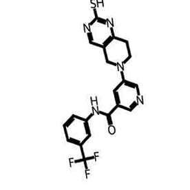 O=C(Nc1cccc(C(F)(F)F)c1)c1cncc(N2CCc3nc(S)ncc3C2)c1